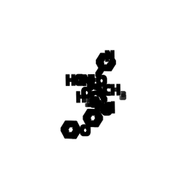 CC(C)(CS(=O)(=O)c1ccc(Oc2ccccc2)cc1)[C@H](OCc1ccncc1)C(=O)NO.Cl